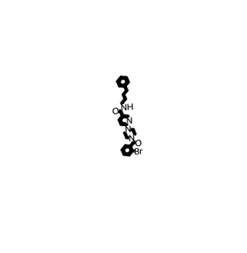 O=C(NCCCCc1ccccc1)c1ccc(N2CCN(C(=O)c3ccccc3Br)CC2)nc1